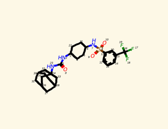 O=C(NC1CCC(NS(=O)(=O)c2cccc(C(F)(F)F)c2)CC1)NC12CC3CC(CC(C3)C1)C2